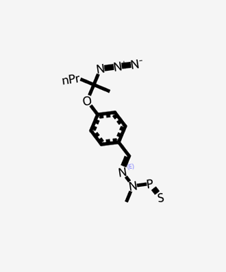 CCCC(C)(N=[N+]=[N-])Oc1ccc(/C=N/N(C)P=S)cc1